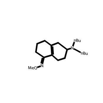 CCCCN(CCCC)C1CCC2=C(CCCC2=NOC)C1